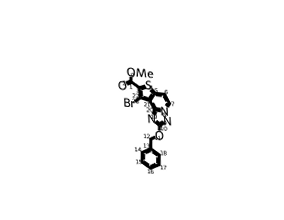 COC(=O)c1sc2ccn3nc(OCc4ccccc4)nc3c2c1Br